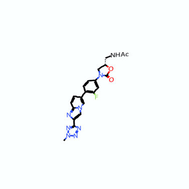 CC(=O)NC[C@H]1CN(c2ccc(-c3ccc4nc(-c5nnn(C)n5)cn4c3)c(F)c2)C(=O)O1